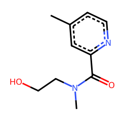 Cc1ccnc(C(=O)N(C)CCO)c1